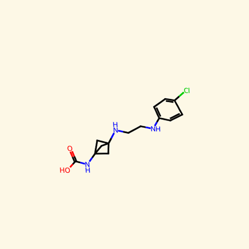 O=C(O)NC12CC(NCCNc3ccc(Cl)cc3)(C1)C2